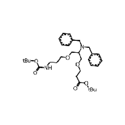 CC(C)(C)OC(=O)CCOCC(COCCCNC(=O)OC(C)(C)C)N(Cc1ccccc1)Cc1ccccc1